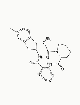 Cc1ccc2c(c1)CC(NC(=O)c1nccnc1NC(=O)C1CCCCN1C(=O)OC(C)(C)C)C2